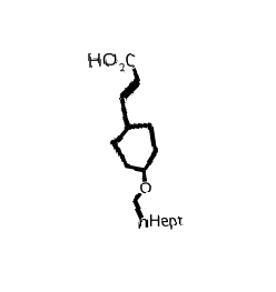 CCCCCCCCOC1CCC(C=CC(=O)O)CC1